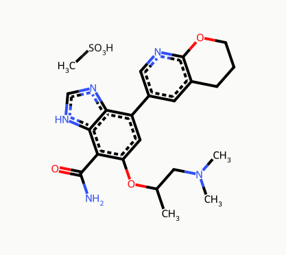 CC(CN(C)C)Oc1cc(-c2cnc3c(c2)CCCO3)c2nc[nH]c2c1C(N)=O.CS(=O)(=O)O